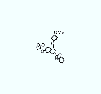 COc1ccc(OCCCN(Cc2cccc(O[C@@H]3CCOC3=O)c2)c2nc3ccccc3o2)cc1